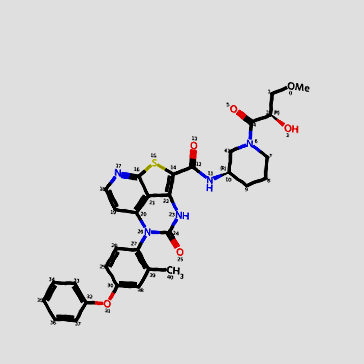 COC[C@@H](O)C(=O)N1CCC[C@@H](NC(=O)c2sc3nccc4c3c2NC(=O)N4c2ccc(Oc3ccccc3)cc2C)C1